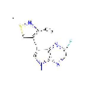 Fc1cnc2[nH]cc(-c3csnc3C(F)(F)F)c2n1